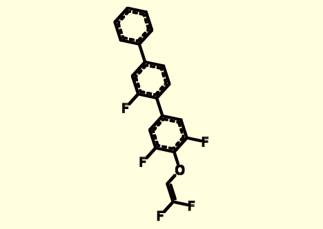 FC(F)=COc1c(F)cc(-c2ccc(-c3ccccc3)cc2F)cc1F